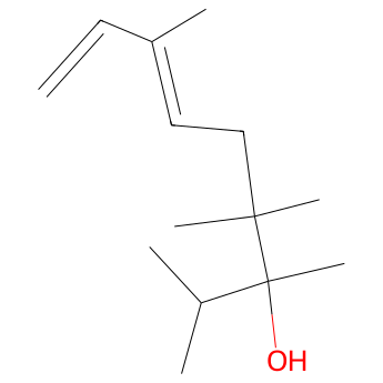 C=CC(C)=CCC(C)(C)C(C)(O)C(C)C